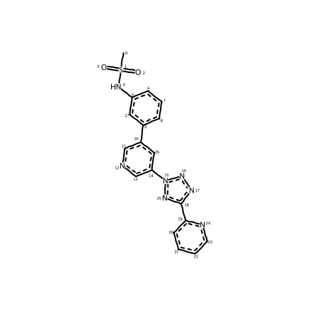 CS(=O)(=O)Nc1cccc(-c2cncc(-n3nnc(-c4ccccn4)n3)c2)c1